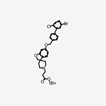 CC(C)(C)OC(=O)CCN1CCC2(CC1)COc1cc(OCc3ccc(-c4cc(Br)ccc4Cl)cc3)ccc12